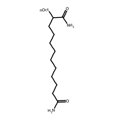 CCCCCCCCC(CCCCCCCCCC(N)=O)C(N)=O